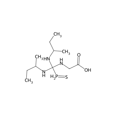 CCC(C)NC(NCC(=O)O)(NC(C)CC)[PH2]=S